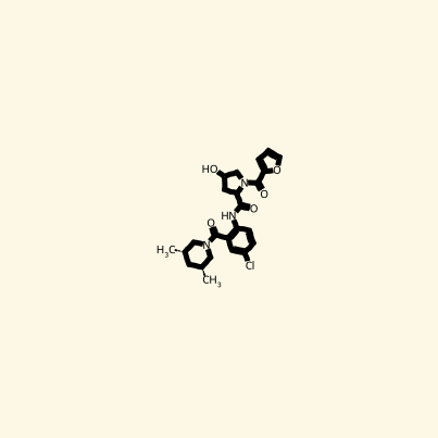 C[C@@H]1C[C@H](C)CN(C(=O)c2cc(Cl)ccc2NC(=O)C2CC(O)CN2C(=O)c2ccco2)C1